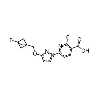 O=C(O)c1ccc(-n2ccc(OCC34CC(F)(C3)C4)n2)nc1Cl